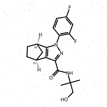 CC(C)(CO)NC(=O)c1nn(-c2ccc(F)cc2F)c2c1[C@H]1CC[C@@H]2C1